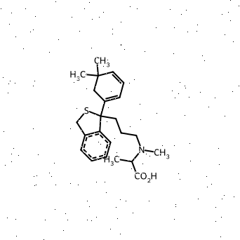 CC(C(=O)O)N(C)CCCC1(C2=CC=CC(C)(C)C2)SCc2ccccc21